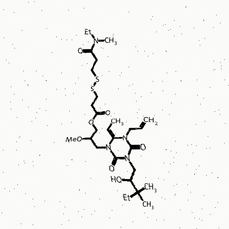 C=CCN1C(=O)N(CC(O)C(C)(C)CC)C(=O)N(CC(COC(=O)CCSSCCC(=O)N(C)CC)OC)/C1=C/C